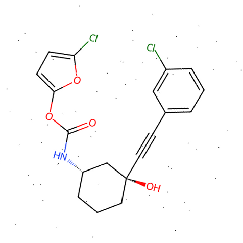 O=C(N[C@H]1CCC[C@@](O)(C#Cc2cccc(Cl)c2)C1)Oc1ccc(Cl)o1